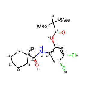 CSC(C)(SC)C(=O)Oc1cc(Cl)c(Cl)cc1NC(=O)C1(C(C)C)CCCCC1